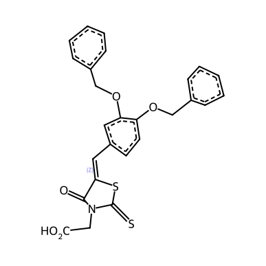 O=C(O)CN1C(=O)/C(=C/c2ccc(OCc3ccccc3)c(OCc3ccccc3)c2)SC1=S